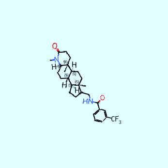 CN1C(=O)CC[C@]2(C)[C@H]3CC[C@]4(C)C(CNC(=O)c5cccc(C(F)(F)F)c5)CC[C@H]4[C@@H]3CC[C@@H]12